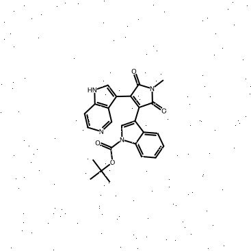 CN1C(=O)C(c2c[nH]c3ccncc23)=C(c2cn(C(=O)OC(C)(C)C)c3ccccc23)C1=O